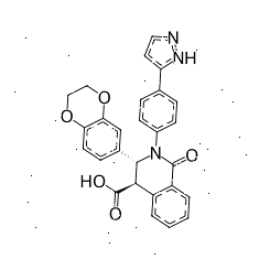 O=C(O)[C@@H]1c2ccccc2C(=O)N(c2ccc(-c3ccn[nH]3)cc2)[C@H]1c1ccc2c(c1)OCCO2